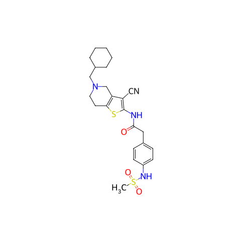 CS(=O)(=O)Nc1ccc(CC(=O)Nc2sc3c(c2C#N)CN(CC2CCCCC2)CC3)cc1